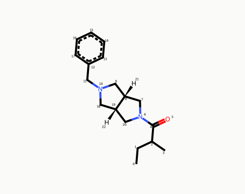 CCC(C)C(=O)N1C[C@H]2CN(Cc3ccccc3)C[C@H]2C1